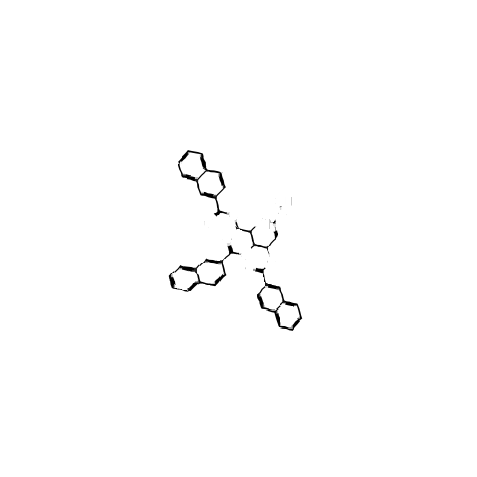 CON=CC(OC(=O)c1ccc2ccccc2c1)C(OC(=O)c1ccc2ccccc2c1)C(Br)COC(=O)c1ccc2ccccc2c1